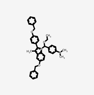 CCOC(c1ccc(N(C)C)cc1)n1c(-c2ccc(OCc3ccccc3)cc2)c(C)c2cc(OCc3ccccc3)ccc21